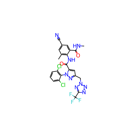 CNC(=O)c1cc(C#N)cc(C)c1NC(=O)c1cc(Cn2nnc(C(F)(F)F)n2)nn1-c1c(Cl)cccc1Cl